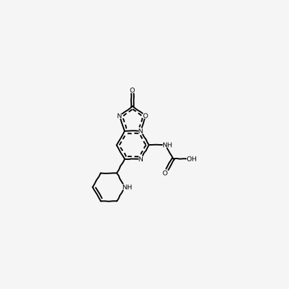 O=C(O)Nc1nc(C2CC=CCN2)cc2nc(=O)on12